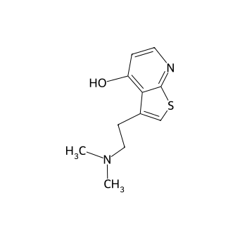 CN(C)CCc1csc2nccc(O)c12